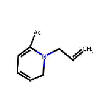 C=CCN1CC=CC=C1C(C)=O